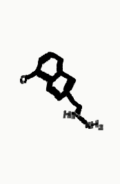 NNCc1ccc2c(Cl)cccc2c1